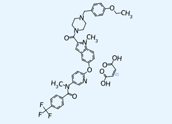 CCOc1ccc(CN2CCN(C(=O)c3cc4cc(Oc5ccc(N(C)C(=O)c6ccc(C(F)(F)F)cc6)cn5)ccc4n3C)CC2)cc1.O=C(O)/C=C\C(=O)O